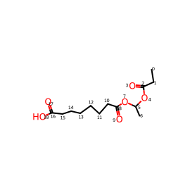 CCC(=O)OC(C)OC(=O)CCCCCCC(=O)O